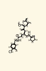 C=C(F)/C(C)=C\C(=C\OC)C(=C)/C=C(\C=C\C(=O)NCc1ccc(Cl)c(C)c1)CNC1=NCCC1